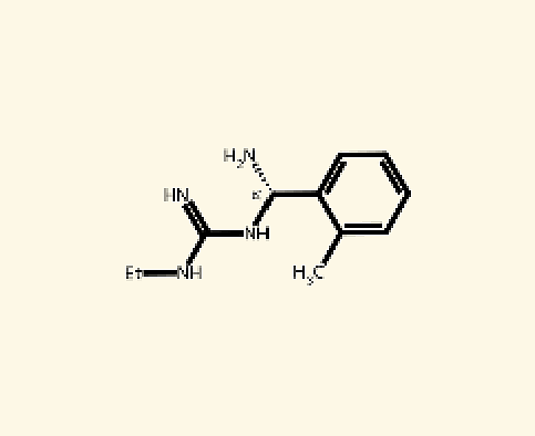 CCNC(=N)N[C@H](N)c1ccccc1C